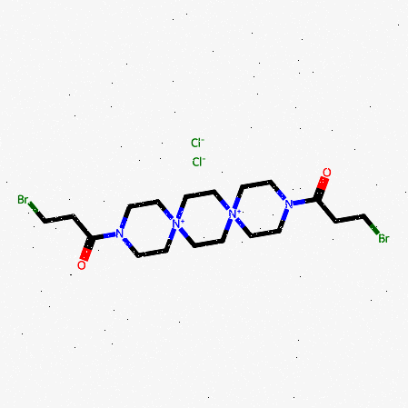 O=C(CCBr)N1CC[N+]2(CC1)CC[N+]1(CCN(C(=O)CCBr)CC1)CC2.[Cl-].[Cl-]